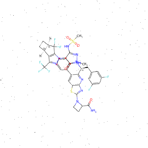 Cn1nc(NS(C)(=O)=O)c2cccc(-c3cc4sc(N5CCC5C(N)=O)nc4nc3[C@H](Cc3cc(F)cc(F)c3)NC(=O)Cn3nc(C(F)(F)F)c4c3C(F)(F)[C@@H]3CC[C@H]43)c21